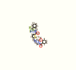 CCOc1ccccc1C(=O)N1CCN(Cc2ccc(C(=O)NCc3ccccc3C(F)(F)F)s2)CC1